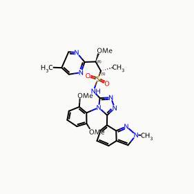 COc1cccc(OC)c1-n1c(NS(=O)(=O)[C@@H](C)[C@H](OC)c2ncc(C)cn2)nnc1-c1cccc2cn(C)nc12